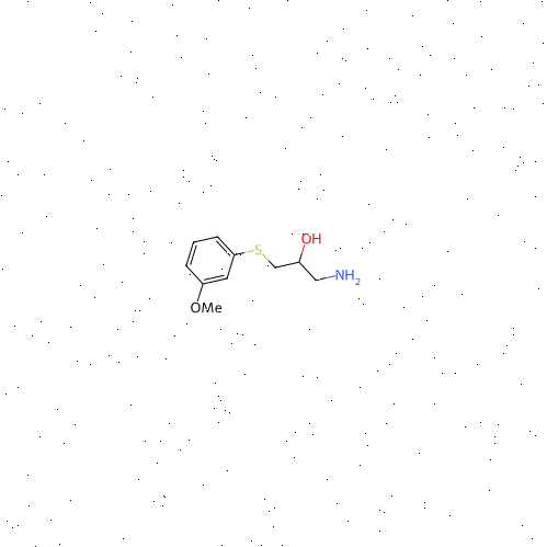 COc1cccc(SCC(O)CN)c1